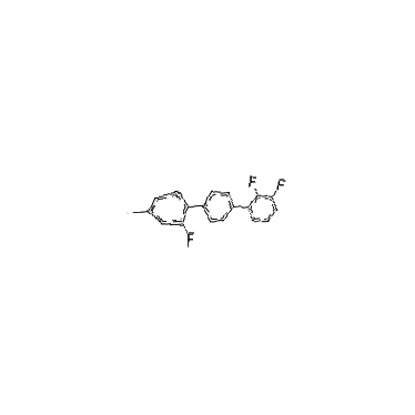 Cc1ccc(-c2ccc(-c3cccc(F)c3F)cc2)c(F)c1